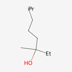 [CH2]CC(C)(O)CCCC(C)C